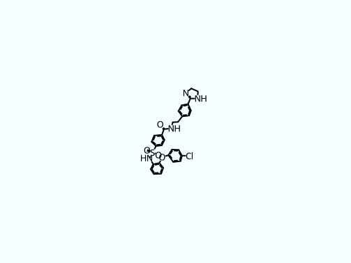 O=C(NCCc1ccc(C2=NCCN2)cc1)c1ccc(S(=O)(=O)Nc2ccccc2Oc2ccc(Cl)cc2)cc1